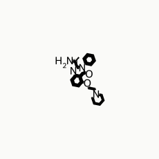 C[C@H](N)c1nc2cccc(OCCN3CCCCC3)c2c(=O)n1-c1ccccc1